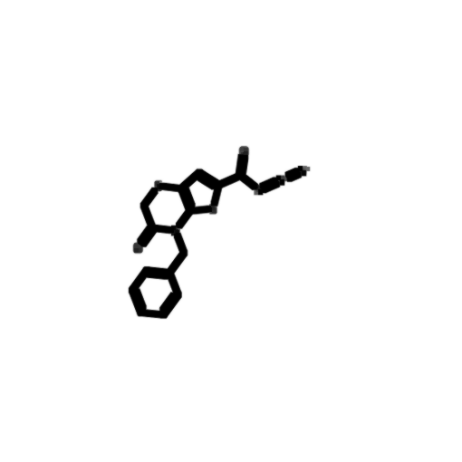 [N-]=[N+]=NC(=O)c1cc2c(s1)N(Cc1ccccc1)C(=O)CS2